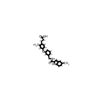 Cc1ccc2[nH]c(C(=O)NCc3cccc(Oc4ccc(CCC(=O)O)c(C)c4)c3)cc2c1